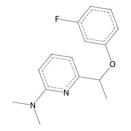 CC(Oc1cccc(F)c1)c1cccc(N(C)C)n1